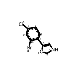 Clc1ccc(C2=CNCO2)c(Br)c1